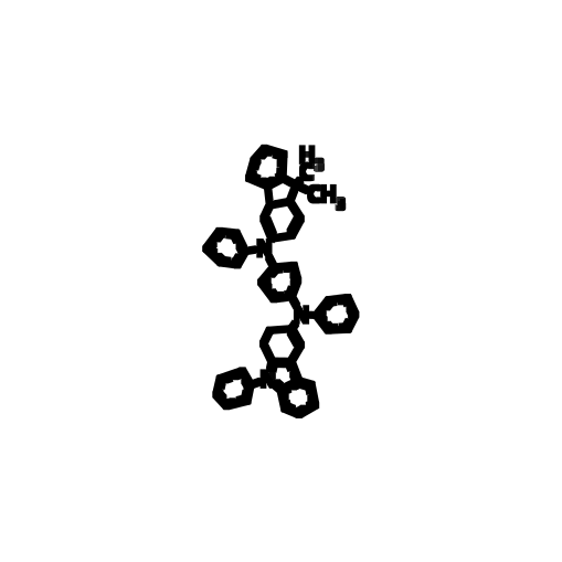 CC1(C)c2ccccc2C2C=C(N(c3ccccc3)c3ccc(N(C4=Cc5c(n(-c6ccccc6)c6ccccc56)CC4)c4ccccc4)cc3)C=CC21